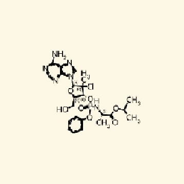 CC(C)OC(=O)[C@H](C)NP(=O)(Oc1ccccc1)O[C@@H]1[C@@H](CO)O[C@@H](n2cnc3c(N)ncnc32)[C@]1(C)Cl